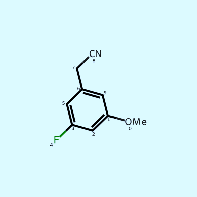 COc1cc(F)cc(CC#N)c1